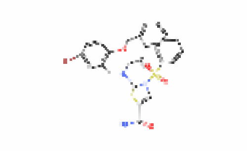 CCN(Cc1cc(Br)ccc1OCc1ccccc1)C1SC(C(N)=O)=CN1S(=O)(=O)c1ccccc1